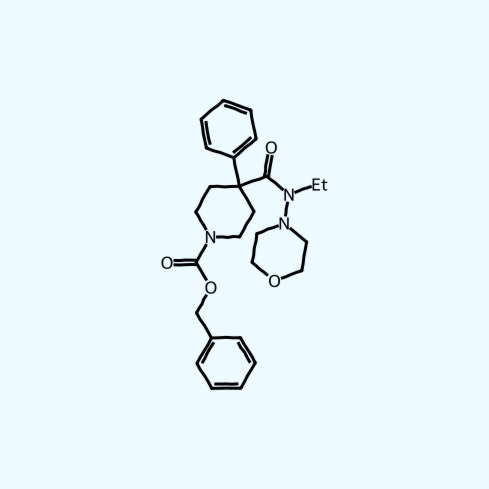 CCN(C(=O)C1(c2ccccc2)CCN(C(=O)OCc2ccccc2)CC1)N1CCOCC1